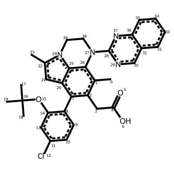 Cc1c(CC(=O)O)c(-c2ccc(Cl)cc2OC(C)(C)C)c2cc(C)n3c2c1N(c1ncc2ccccc2n1)CC3